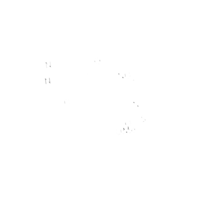 COc1ccc(C(=O)c2cnn(C)c2O)c([N+](=O)[O-])c1N=S1(=O)CCCCC1